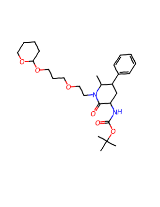 CC1C(c2ccccc2)CC(NC(=O)OC(C)(C)C)C(=O)N1CCOCCCOC1CCCCO1